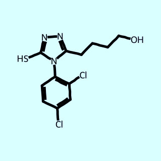 OCCCCc1nnc(S)n1-c1ccc(Cl)cc1Cl